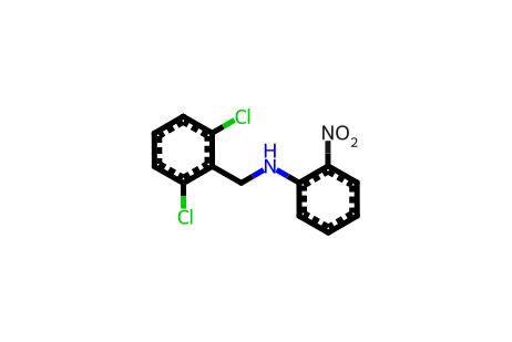 O=[N+]([O-])c1ccccc1NCc1c(Cl)cccc1Cl